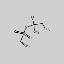 C=CS(=O)(=O)OC(C)(C)CC